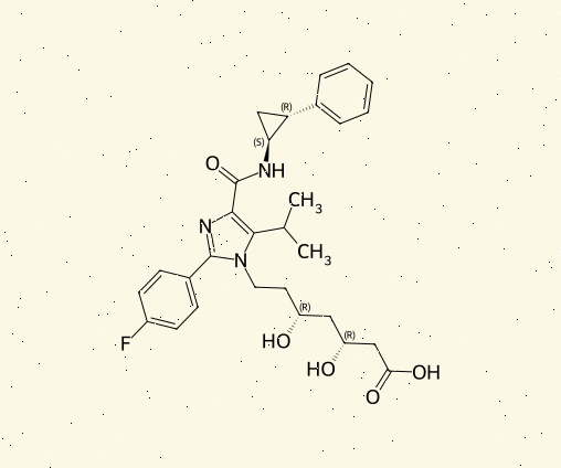 CC(C)c1c(C(=O)N[C@H]2C[C@@H]2c2ccccc2)nc(-c2ccc(F)cc2)n1CC[C@@H](O)C[C@@H](O)CC(=O)O